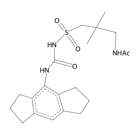 CC(=O)NCC(C)(C)CS(=O)(=O)NC(=O)Nc1c2c(cc3c1CCC3)CCC2